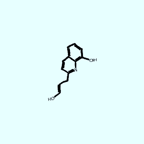 OC=CCc1ccc2cccc(O)c2n1